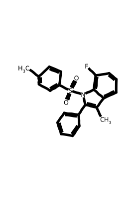 Cc1ccc(S(=O)(=O)n2c(-c3ccccc3)c(C)c3cccc(F)c32)cc1